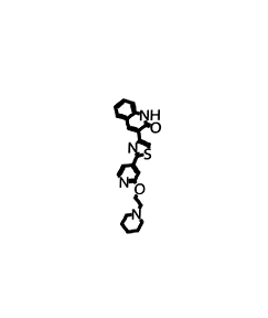 O=c1[nH]c2ccccc2cc1-c1csc(-c2ccnc(OCCN3CCCCC3)c2)n1